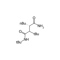 CCCC[C@H](C(N)=O)C(C(=O)NC(C)(C)C)C(C)(C)C